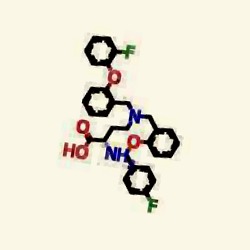 N[C@@H](CCN(Cc1ccccc1OCc1ccc(F)cc1)Cc1ccccc1Oc1ccccc1F)C(=O)O